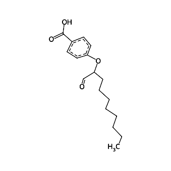 CCCCCCCCC(C=O)Oc1ccc(C(=O)O)cc1